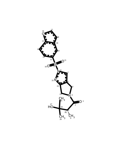 C[C@@H](C(=O)N1Cc2cn(S(=O)(=O)c3ccc4occc4c3)nc2C1)C(C)(C)O